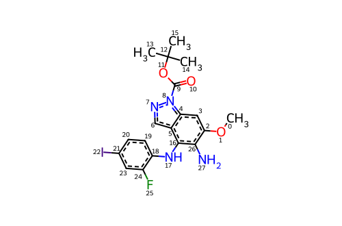 COc1cc2c(cnn2C(=O)OC(C)(C)C)c(Nc2ccc(I)cc2F)c1N